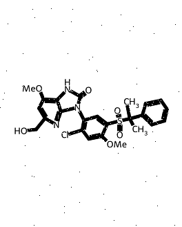 COc1cc(Cl)c(-n2c(=O)[nH]c3c(OC)cc(CO)nc32)cc1S(=O)(=O)C(C)(C)c1ccccc1